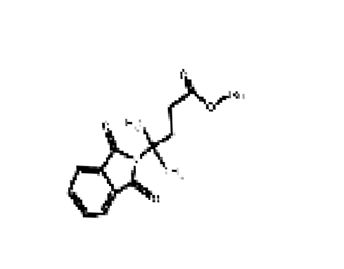 CC(C)(C)OC(=O)CCC(C)(C)N1C(=O)c2ccccc2C1=O